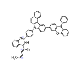 C/C=C\C=C(/CC)C(=N)c1ccccc1/N=C/c1ccc(-n2c3ccc(-c4ccc5c(c4)Oc4ccccc4N5c4ccccc4)cc3c3c4ccccc4ccc32)cc1